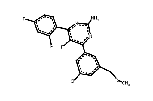 CSCc1cc(Cl)cc(-c2nc(N)nc(-c3ccc(F)cc3F)c2F)c1